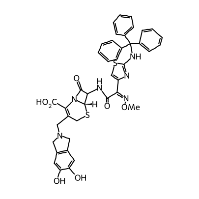 CO/N=C(\C(=O)NC1C(=O)N2C(C(=O)O)=C(CN3Cc4cc(O)c(O)cc4C3)CS[C@@H]12)c1csc(NC(c2ccccc2)(c2ccccc2)c2ccccc2)n1